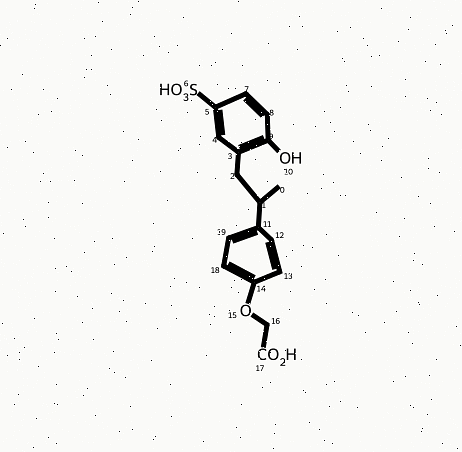 CC(Cc1cc(S(=O)(=O)O)ccc1O)c1ccc(OCC(=O)O)cc1